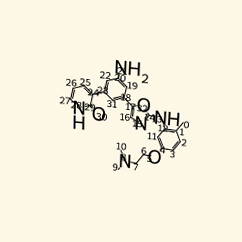 Cc1ccc(OCCN(C)C)cc1Nc1ncc(-c2cc(N)cc(-c3ccc[nH]c3=O)c2)o1